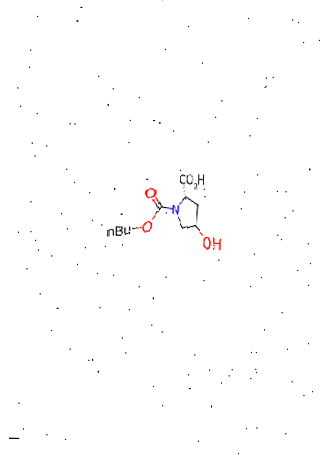 CCCCOC(=O)N1CC(O)C[C@H]1C(=O)O